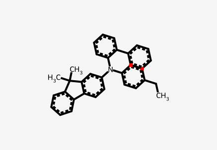 CCc1ccc(N(c2ccc3c(c2)C(C)(C)c2ccccc2-3)c2ccccc2-c2ccccc2)cc1